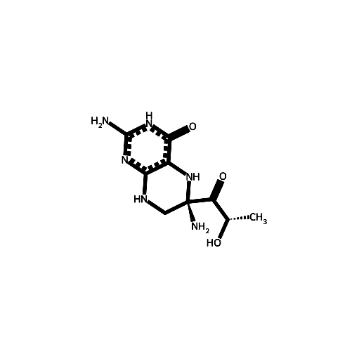 C[C@H](O)C(=O)[C@]1(N)CNc2nc(N)[nH]c(=O)c2N1